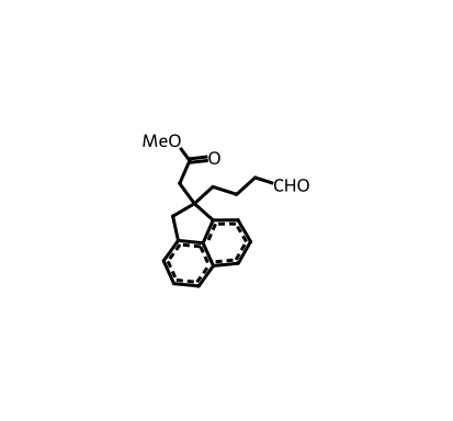 COC(=O)CC1(CCCC=O)Cc2cccc3cccc1c23